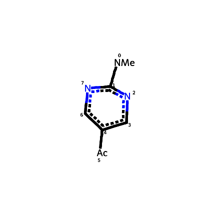 CNc1ncc(C(C)=O)cn1